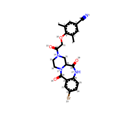 Cc1cc(C#N)cc(C)c1OCC(=O)N1CCN2C(=O)c3cc(Br)ccc3NC(=O)C2C1